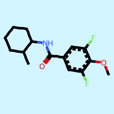 COc1c(F)cc(C(=O)NC2CCCCC2C)cc1F